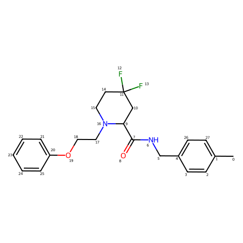 Cc1ccc(CNC(=O)C2CC(F)(F)CCN2CCOc2ccccc2)cc1